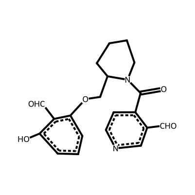 O=Cc1cnccc1C(=O)N1CCCCC1COc1cccc(O)c1C=O